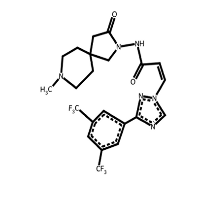 CN1CCC2(CC1)CC(=O)N(NC(=O)/C=C\n1cnc(-c3cc(C(F)(F)F)cc(C(F)(F)F)c3)n1)C2